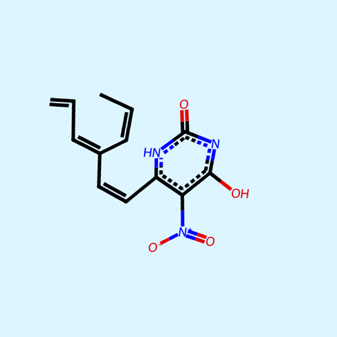 C=C/C=C(\C=C/C)/C=C\c1[nH]c(=O)nc(O)c1[N+](=O)[O-]